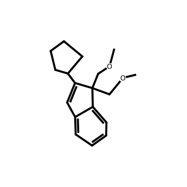 COCC1(COC)C(C2CCCC2)=Cc2ccccc21